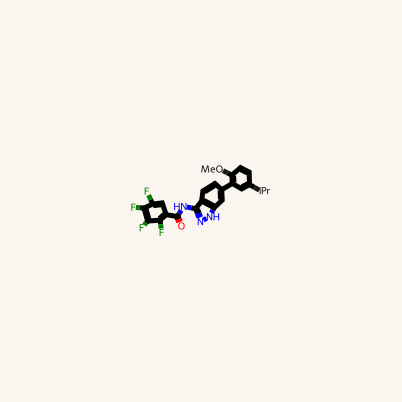 COc1ccc(C(C)C)cc1-c1ccc2c(NC(=O)c3cc(F)c(F)c(F)c3F)n[nH]c2c1